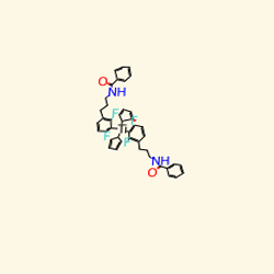 O=C(NCCCc1ccc(F)[c]([Ti]([c]2c(F)ccc(CCCNC(=O)c3ccccc3)c2F)([CH]2C=CC=C2)[CH]2C=CC=C2)c1F)c1ccccc1